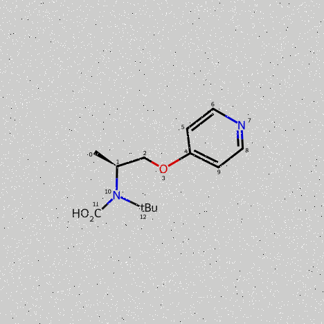 C[C@@H](COc1ccncc1)N(C(=O)O)C(C)(C)C